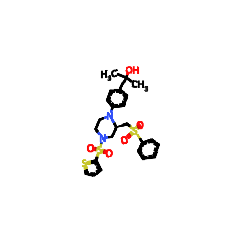 CC(C)(O)c1ccc(N2CCN(S(=O)(=O)c3cccs3)C[C@@H]2CS(=O)(=O)c2ccccc2)cc1